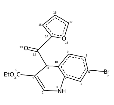 CCOC(=O)C1=CNc2cc(Br)ccc2C1C(=O)c1ccco1